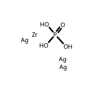 O=P(O)(O)O.[Ag].[Ag].[Ag].[Zr]